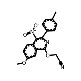 COc1ccc2c([N+](=O)[O-])c(-c3ccc(C)cc3)nc(OCC#N)c2c1